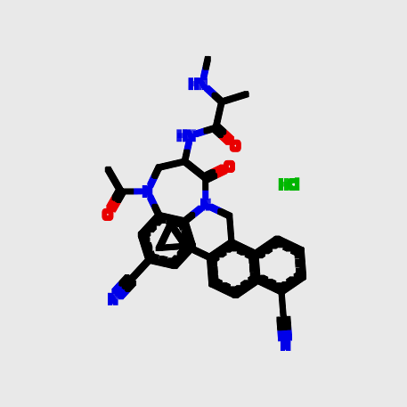 CNC(C)C(=O)NC1CN(C(C)=O)c2cc(C#N)ccc2N(Cc2c(C3CC3)ccc3c(C#N)cccc23)C1=O.Cl